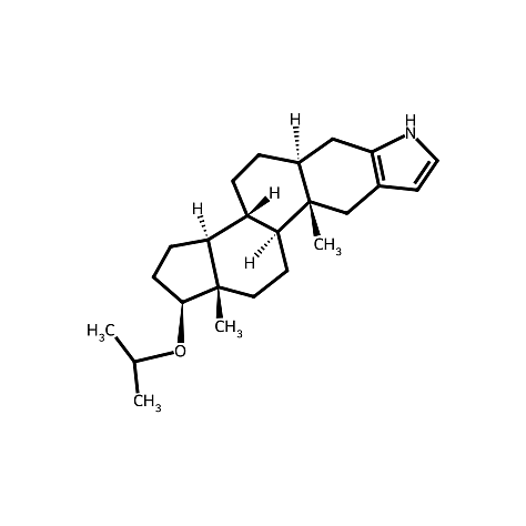 CC(C)O[C@H]1CC[C@H]2[C@@H]3CC[C@H]4Cc5[nH]ccc5C[C@]4(C)[C@H]3CC[C@]12C